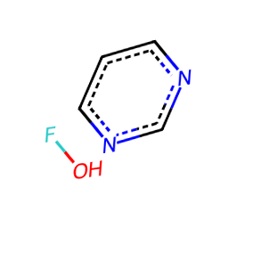 OF.c1cncnc1